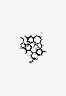 CCn1nnc2c(C)c(C(c3ccc(C)c(CN4C[C@@H](C)Cc5cc(C)ccc5S4(=O)=O)c3)[C@@H](C)C(=O)O)ccc21